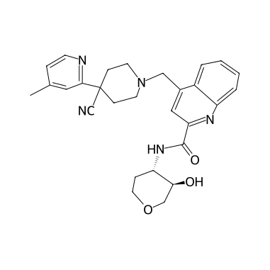 Cc1ccnc(C2(C#N)CCN(Cc3cc(C(=O)N[C@H]4CCOC[C@@H]4O)nc4ccccc34)CC2)c1